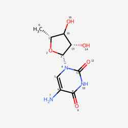 C[C@H]1O[C@@H](n2cc(N)c(=O)[nH]c2=O)[C@@H](O)C1O